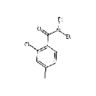 CCN(CC)C(=O)c1ccc(C)cc1Cl